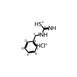 Cl.N=C(S)NCc1ccccc1